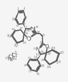 [Cl-].[Cl-].[Ni+2].c1ccc([C@H]2N=C(CC3=N[C@H](c4ccccc4)C4(CCCCC4)O3)OC23CCCCC3)cc1